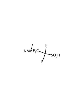 CNC.O=S(=O)(O)C(F)(F)C(F)(F)F